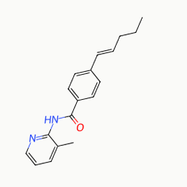 CCC/C=C/c1ccc(C(=O)Nc2ncccc2C)cc1